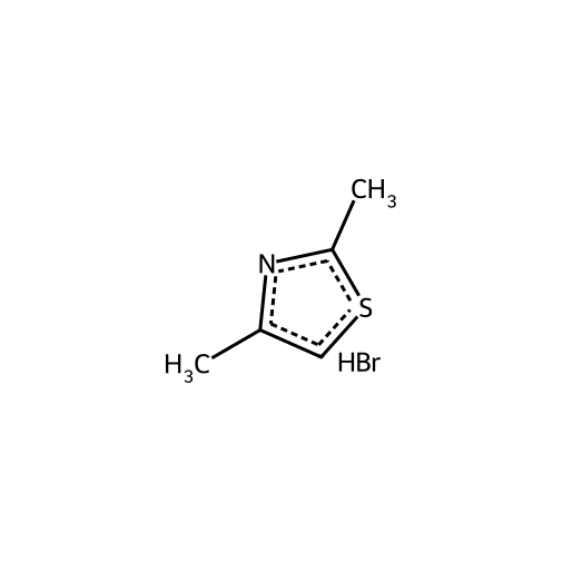 Br.Cc1csc(C)n1